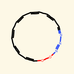 C1=CC=CC=CC=NN=NOOC=CC=CC=C1